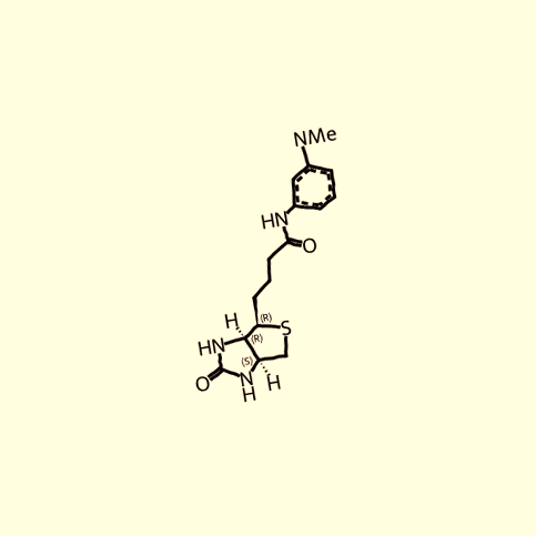 CNc1cccc(NC(=O)CCC[C@H]2SC[C@H]3NC(=O)N[C@H]32)c1